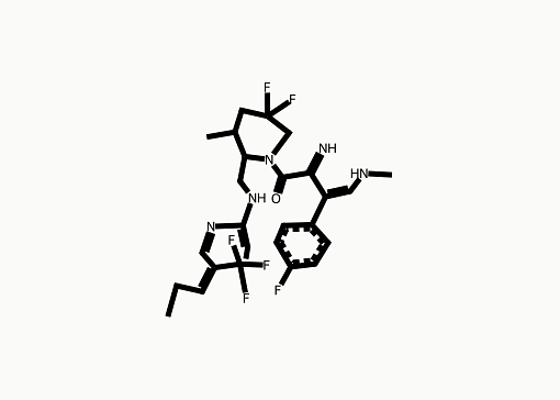 C\C=C(/N=C\C(=C/CC)C(F)(F)F)NCC1C(C)CC(F)(F)CN1C(=O)C(=N)/C(=C\NC)c1ccc(F)cc1